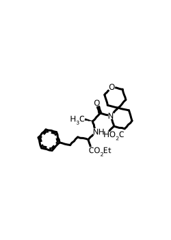 CCOC(=O)C(CCc1ccccc1)N[C@@H](C)C(=O)N1C(C(=O)O)CCCC12CCOCC2